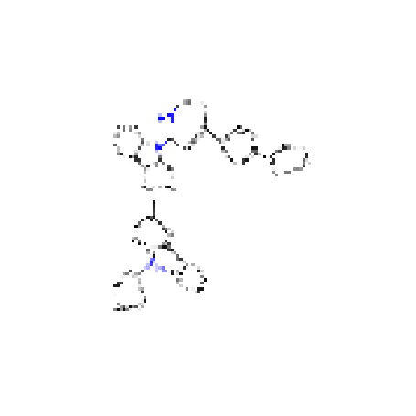 C1=CC(c2ccc(-c3ccccc3)cc2)=CC(n2c3ccccc3c3cc(-c4ccc5c(c4)c4ccccc4n5-c4ccccc4)ccc32)N1